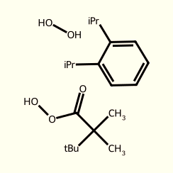 CC(C)(C)C(C)(C)C(=O)OO.CC(C)c1ccccc1C(C)C.OO